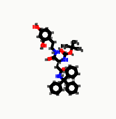 CC(C)(C)OC(=O)N[C@H](CC(=O)NC(c1ccccc1)(c1ccccc1)c1ccccc1)C(=O)NCCc1ccc(O)cc1O